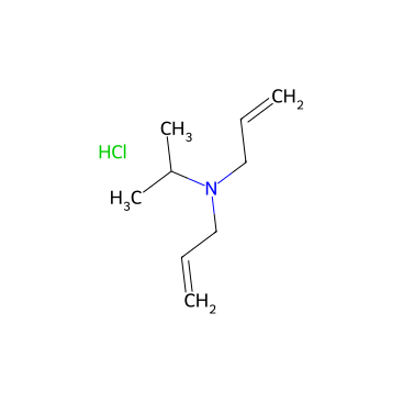 C=CCN(CC=C)C(C)C.Cl